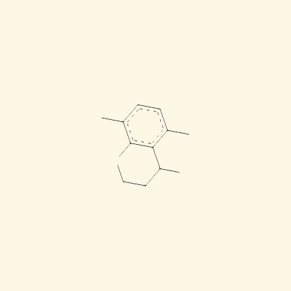 CCC1CCSc2c(C)ccc(C)c21